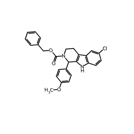 COc1ccc(C2c3[nH]c4ccc(Cl)cc4c3CCN2C(=O)OCc2ccccc2)cc1